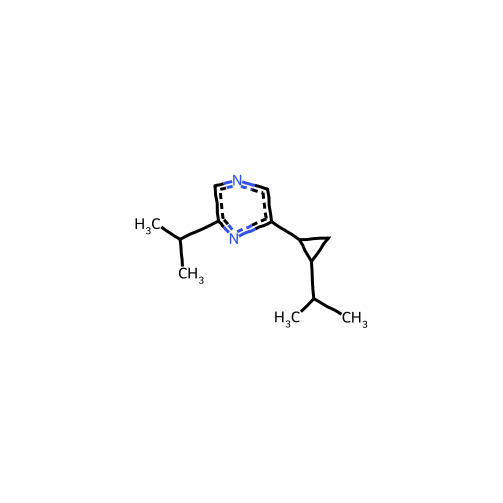 CC(C)c1cncc(C2CC2C(C)C)n1